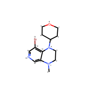 CN1CCN(C2CCOCC2)c2c(Br)cncc21